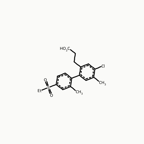 CCS(=O)(=O)c1ccc(-c2cc(C)c(Cl)cc2CCC(=O)O)c(C)c1